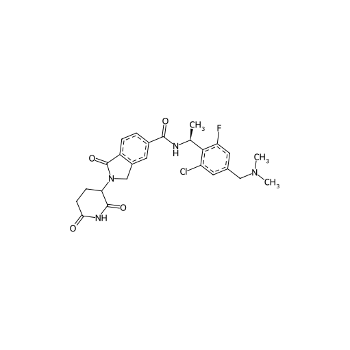 C[C@H](NC(=O)c1ccc2c(c1)CN(C1CCC(=O)NC1=O)C2=O)c1c(F)cc(CN(C)C)cc1Cl